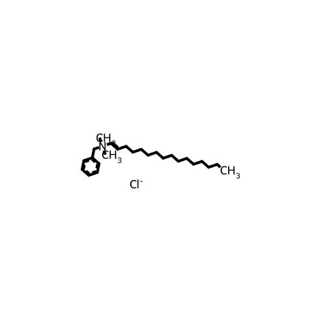 CCCCCCCCCCCCCCC=C[N+](C)(C)Cc1ccccc1.[Cl-]